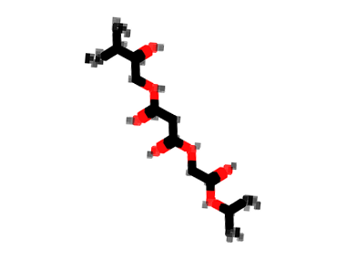 CC(C)OC(=O)COC(=O)CC(=O)OCC(=O)C(C)C